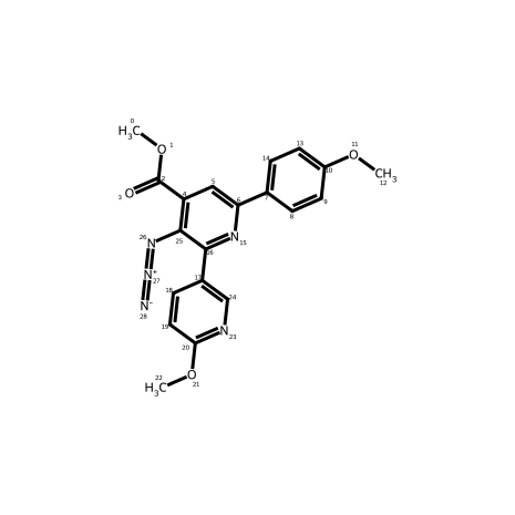 COC(=O)c1cc(-c2ccc(OC)cc2)nc(-c2ccc(OC)nc2)c1N=[N+]=[N-]